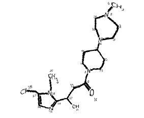 CN1CCN(C2CCN(C(=O)CC(O)c3ncc(Cl)n3C)CC2)CC1